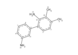 Cc1ccc(-c2cccc(N)c2)c(N)c1C